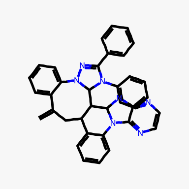 C=C1CC2c3ccccc3N3c4nccnc4N(C)C3C2C2N(N=C(c3ccccc3)N2c2ccccc2)c2ccccc21